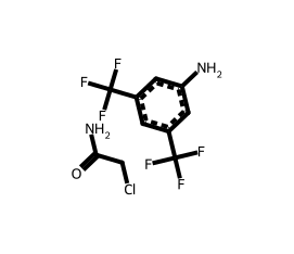 NC(=O)CCl.Nc1cc(C(F)(F)F)cc(C(F)(F)F)c1